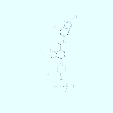 CCn1cc2c(N3CC(C)N(C(=O)OC(C)(C)C)[C@@H](C)C3)ccc(C(=O)Nc3cc(F)c4nc(C)cn4c3)c2n1